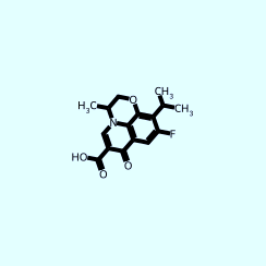 CC(C)c1c(F)cc2c(=O)c(C(=O)O)cn3c2c1OCC3C